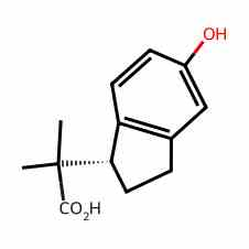 CC(C)(C(=O)O)[C@H]1CCc2cc(O)ccc21